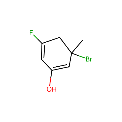 CC1(Br)C=C(O)C=C(F)C1